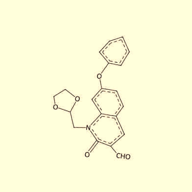 O=Cc1cc2ccc(Oc3ccccc3)cc2n(CC2OCCO2)c1=O